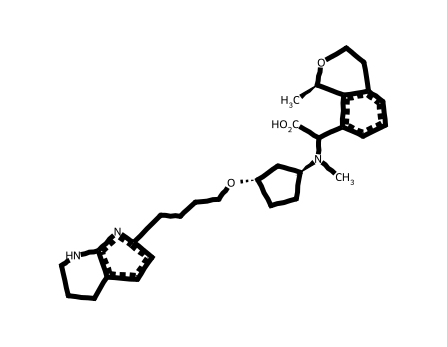 C[C@H]1OCCc2cccc(C(C(=O)O)N(C)[C@H]3CC[C@H](OCCCCc4ccc5c(n4)NCCC5)C3)c21